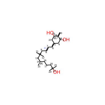 C=C1[C@H](O)CC(=C/C=C/CC(C)(C)C[C@H](C)CCCC(C)(C)O)C[C@H]1O